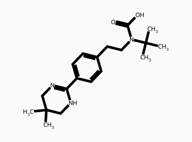 CC1(C)CN=C(c2ccc(CCN(C(=O)O)C(C)(C)C)cc2)NC1